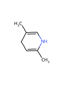 CC1=CNC(C)=CC1